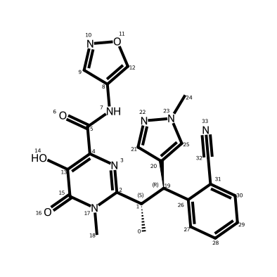 C[C@H](c1nc(C(=O)Nc2cnoc2)c(O)c(=O)n1C)[C@@H](c1cnn(C)c1)c1ccccc1C#N